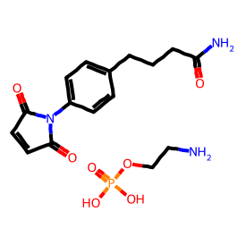 NC(=O)CCCc1ccc(N2C(=O)C=CC2=O)cc1.NCCOP(=O)(O)O